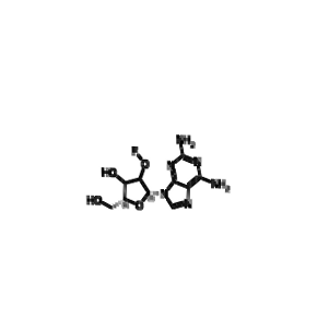 Nc1nc(N)c2ncn([C@@H]3O[C@H](CO)C(O)C3OF)c2n1